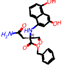 NC(=O)C[C@](C=O)(Nc1cc(O)cc2c(O)cccc12)C(=O)OCc1ccccc1